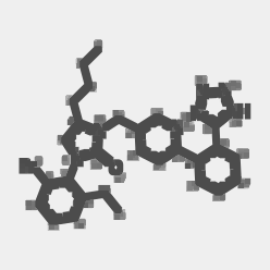 CCCCc1cn(-c2c(Br)cccc2CC)c(=O)n1Cc1ccc(-c2ccccc2-c2nnn[nH]2)nc1